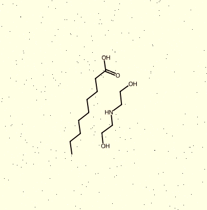 CCCCCCCCC(=O)O.OCCNCCO